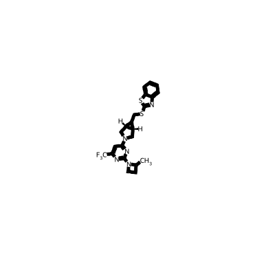 CC1CCN1c1nc(N2C[C@@H]3C(CSc4nc5ccccc5s4)[C@@H]3C2)cc(C(F)(F)F)n1